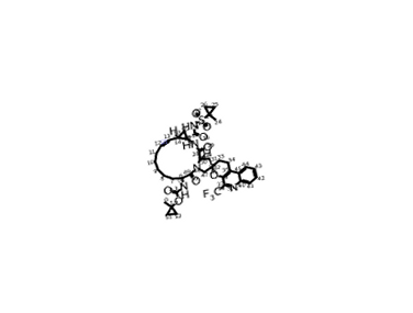 CC1(OC(=O)N[C@H]2CCCCC/C=C\[C@@H]3C[C@@]3(C(=O)NS(=O)(=O)C3(C)CC3)NC(=O)[C@@H]3C[C@]4(CCc5c(c(C(F)(F)F)nc6ccccc56)O4)CN3C2=O)CC1